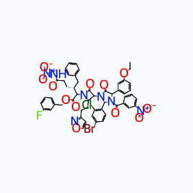 CCOc1cccc(C2C(=O)N(C3C(=O)N(C(C(=O)OCc4cccc(F)c4)[C@H](CCC(=O)N[N+](=O)[O-])Cc4ccccc4)C3CCc3ccon3)C(c3ccc(Br)cc3Cl)N2C(=O)c2cccc([N+](=O)[O-])c2)c1